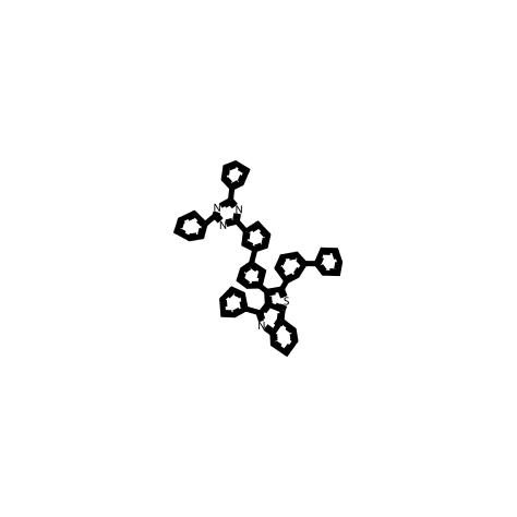 c1ccc(-c2cccc(-c3sc4c(c(-c5ccccc5)nc5ccccc54)c3-c3cccc(-c4cccc(-c5nc(-c6ccccc6)nc(-c6ccccc6)n5)c4)c3)c2)cc1